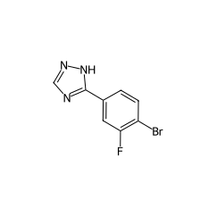 Fc1cc(-c2ncn[nH]2)ccc1Br